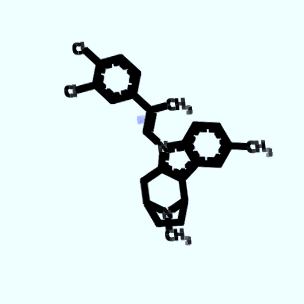 C/C(=C\n1c2c(c3cc(C)ccc31)C1CCC(C2)N1C)c1ccc(Cl)c(Cl)c1